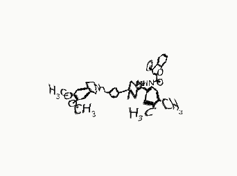 COc1cc2c(cc1OC)CN(CCc1ccc(C3N=NC(c4cc(C)c(C)cc4NC(=O)c4cc(=O)c5ccccc5o4)=N3)cc1)CC2